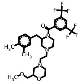 COCC1CN(CCN2CCN(C(=O)c3cc(C(F)(F)F)cc(C(F)(F)F)c3)C(Cc3ccc(C)c(C)c3)C2)CCO1